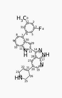 Cc1cc(F)cc(-c2cccc3[nH]c(-c4n[nH]c5ncc(C6=CCNCC6)cc45)cc23)c1